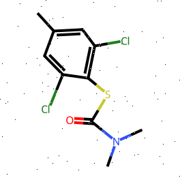 Cc1cc(Cl)c(SC(=O)N(C)C)c(Cl)c1